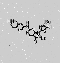 CCn1c(=O)c2cnc(Nc3ccc4c(c3)CNCC4)nc2n1-c1nc(C(C)(C)C)c(Cl)s1